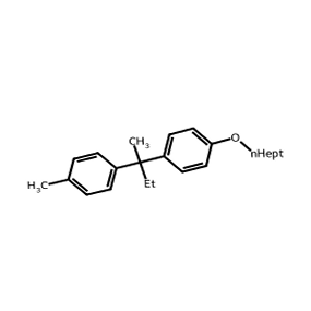 CCCCCCCOc1ccc(C(C)(CC)c2ccc(C)cc2)cc1